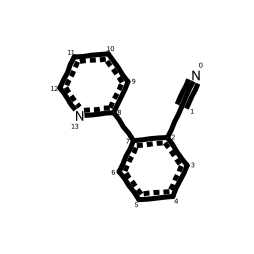 N#Cc1ccccc1-c1ccc[c]n1